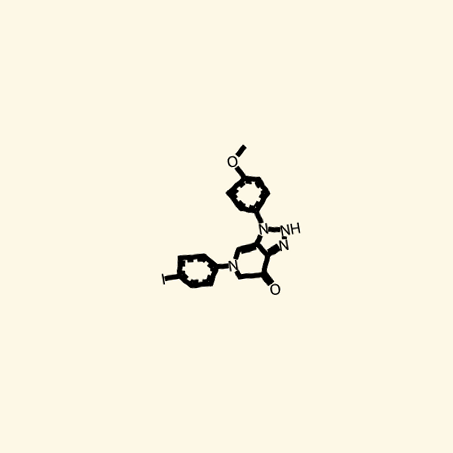 COc1ccc(N2NN=C3C(=O)CN(c4ccc(I)cc4)C=C32)cc1